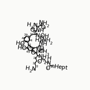 CCCCCCCC(=O)NCCC(=O)N[C@@H](CCCCN)C(=O)N(C)[C@@H]1C(=O)N[C@@H](N)C(O)N[C@H](C(=O)N[C@@H](N)C(N)=O)Cc2ccc(O)c(c2)-c2cc1ccc2O